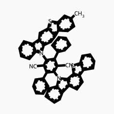 Cc1ccc2c(c1)sc1cc3c4ccccc4n(-c4c(C#N)c(-c5ccccc5)c(-n5c6ccccc6c6ccc7c8ccccc8sc7c65)c(C#N)c4-c4ccccc4)c3cc12